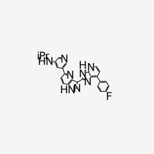 CC(C)Nc1cncc(-c2ccc3[nH]nc(-c4nc5c(-c6ccc(F)cc6)ccnc5[nH]4)c3n2)c1